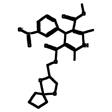 COC(=O)C1=C(C)NC(C)=C(C(=O)OCC2COC3(CCCC3)O2)C1c1cccc([N+](=O)[O-])c1